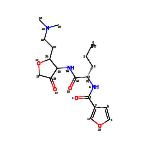 CC(C)CC[C@H](NC(=O)c1ccoc1)C(=O)NC1C(=O)COC1CCN(C)C